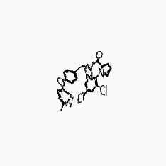 Cc1ccc(Oc2ccc(CNC(=O)c3cccn3-c3ncc(Cl)cc3Cl)cc2)cn1